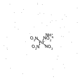 O=[N+]([O-])[Pd-]([N+](=O)[O-])([N+](=O)[O-])[N+](=O)[O-].[NH4+]